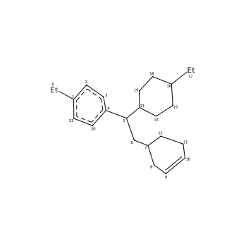 CCc1ccc(C(CC2CC=CCC2)C2CCC(CC)CC2)cc1